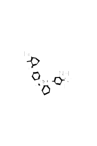 Cc1c(Br)cccc1Oc1ccc(S(=O)(=O)c2ccccc2Oc2ccc(N)c(N)c2)cc1